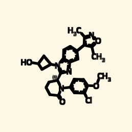 COc1ccc(N2C(=O)CCC[C@H]2c2nc3cc(-c4c(C)noc4C)ccc3n2C2CC(O)C2)cc1Cl